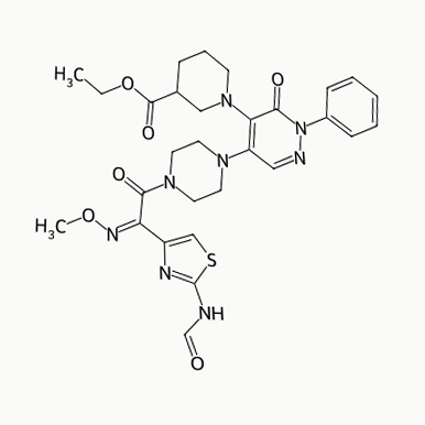 CCOC(=O)C1CCCN(c2c(N3CCN(C(=O)/C(=N\OC)c4csc(NC=O)n4)CC3)cnn(-c3ccccc3)c2=O)C1